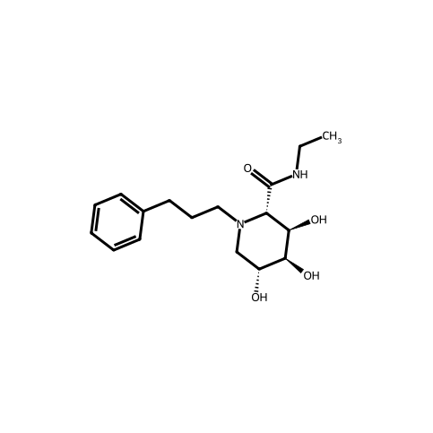 CCNC(=O)[C@@H]1[C@@H](O)[C@@H](O)[C@H](O)CN1CCCc1ccccc1